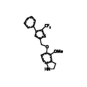 COc1c(OCc2cc(-c3ccccc3)c(C(F)(F)F)s2)ccc2c1CCN2